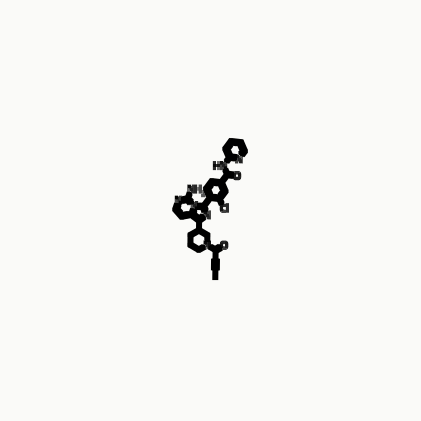 CC#CC(=O)N1CCCC(c2nc(-c3ccc(C(=O)Nc4ccccn4)cc3Cl)n3c(N)nccc23)C1